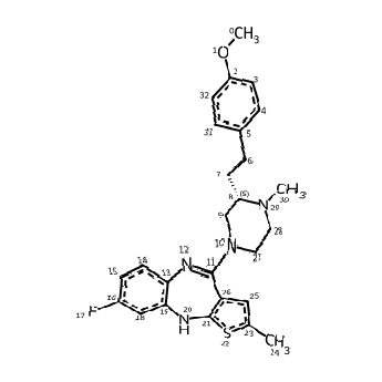 COc1ccc(CC[C@H]2CN(C3=Nc4ccc(F)cc4Nc4sc(C)cc43)CCN2C)cc1